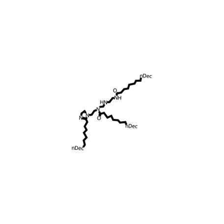 CCCCCCCCCCCCCCCCCC(=O)NCCNCCN(CCN1CCN=C1CCCCCCCCCCCCCCCCC)C(=O)CCCCCCCCCCCCCCCCC